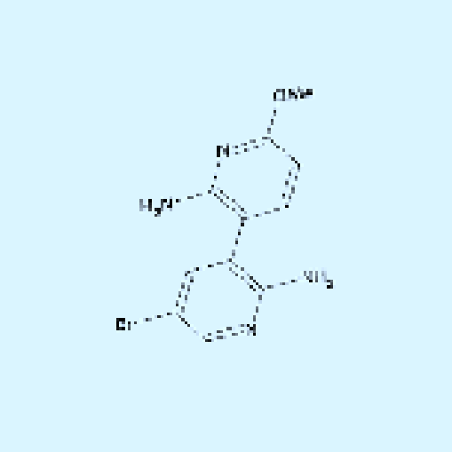 COc1ccc(-c2cc(Br)cnc2N)c(N)n1